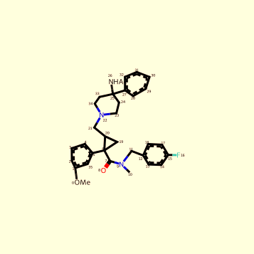 COc1cccc(C2(C(=O)N(C)Cc3ccc(F)cc3)CC2CN2CCC(NC(C)=O)(c3ccccc3)CC2)c1